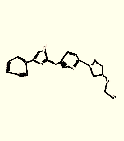 CC(C)CNC1CCN(c2ccc(-c3nc(-c4ccccc4)c[nH]3)cn2)C1